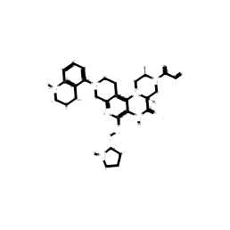 C=CC(=O)N1C[C@@H]2C(=O)N(C)c3c(OC[C@@H]4CCCN4C)nc4c(c3N2C[C@H]1C)CCN(c1cccc2c1CCCN2C)C4